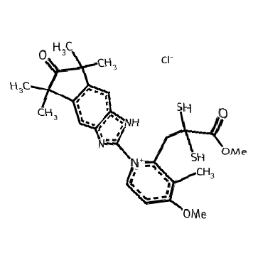 COC(=O)C(S)(S)Cc1c(C)c(OC)cc[n+]1-c1nc2cc3c(cc2[nH]1)C(C)(C)C(=O)C3(C)C.[Cl-]